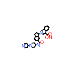 CN(C(=O)c1ccc2c(c1)[C@H](N1C=C(C(=O)O)c3ccccc3C1)CC2)C1CCN(c2ccncc2)CC1